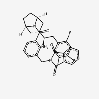 N[C@H](Cc1cc(F)c(F)cc1F)[C@@H]1C[C@H]2CC[C@@H](C1)N2C(=O)c1cccc(CN2C(=O)c3ccccc3C2=O)c1